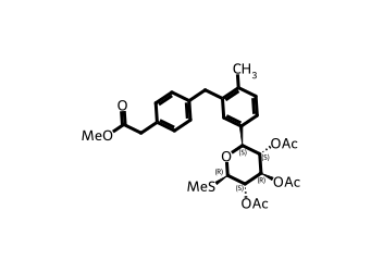 COC(=O)Cc1ccc(Cc2cc([C@@H]3O[C@H](SC)[C@@H](OC(C)=O)[C@H](OC(C)=O)[C@H]3OC(C)=O)ccc2C)cc1